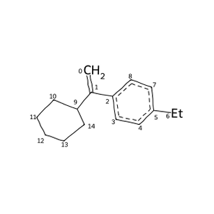 C=C(c1ccc(CC)cc1)C1CCCCC1